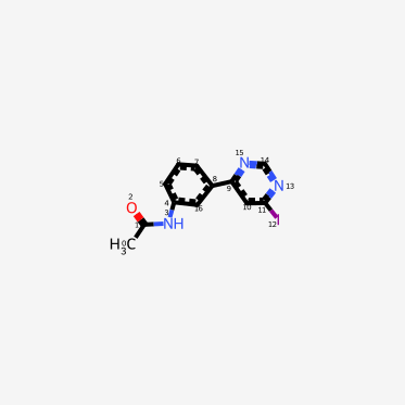 CC(=O)Nc1cccc(-c2cc(I)ncn2)c1